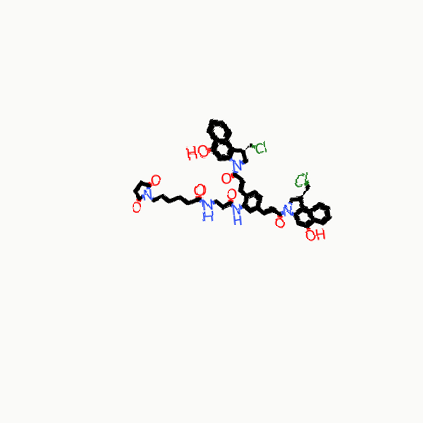 O=C(CCCCCN1C(=O)C=CC1=O)NCCC(=O)Nc1cc(/C=C/C(=O)N2C[C@@H](CCl)c3c2cc(O)c2ccccc32)ccc1/C=C/C(=O)N1C[C@@H](CCl)c2c1cc(O)c1ccccc21